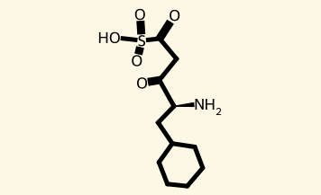 N[C@@H](CC1CCCCC1)C(=O)CC(=O)S(=O)(=O)O